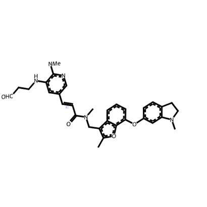 CNc1ncc(/C=C/C(=O)N(C)Cc2c(C)oc3c(Oc4ccc5c(c4)N(C)CC5)cccc23)cc1NCCC=O